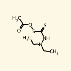 CCN(CC)NC(=S)SOC(C)=O